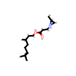 CC(C)=CCCC(C)CCOC(=O)CCN1CC1C